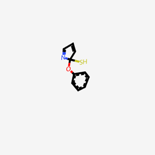 SC1(Oc2ccccc2)C=CC=N1